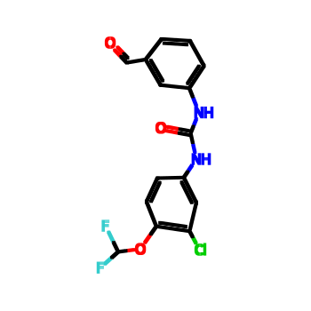 O=Cc1cccc(NC(=O)Nc2ccc(OC(F)F)c(Cl)c2)c1